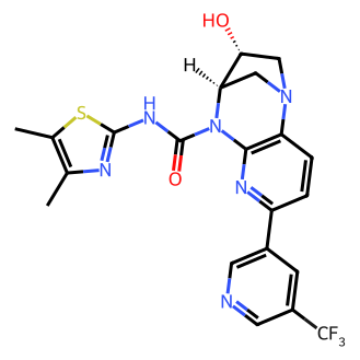 Cc1nc(NC(=O)N2c3nc(-c4cncc(C(F)(F)F)c4)ccc3N3C[C@@H](O)[C@H]2C3)sc1C